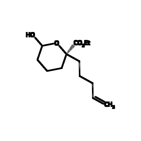 C=CCCC[C@@]1(C(=O)OCC)CCCC(O)O1